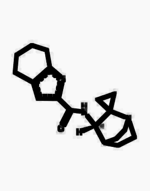 O=C(N[C@H]1C2CCN(CC2)C12CC2)c1cc2c(s1)CCCC2